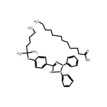 CCCCCC(C)(C)Oc1ccc(C2=NN(c3ccccc3)N(c3ccccc3)N2)cc1.CCCCCCCCCCCC(=O)O